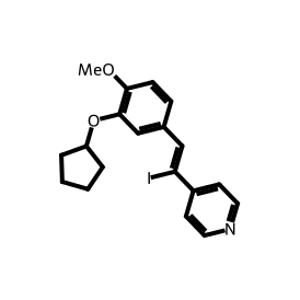 COc1ccc(C=C(I)c2ccncc2)cc1OC1CCCC1